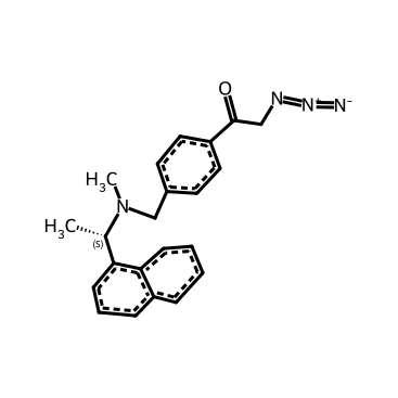 C[C@@H](c1cccc2ccccc12)N(C)Cc1ccc(C(=O)CN=[N+]=[N-])cc1